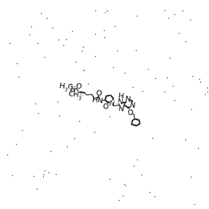 CN(C)C(=O)/C=C/CCCC(=O)Nc1cccn(Cc2nc3c(OCc4ccccc4)ncnc3[nH]2)c1=O